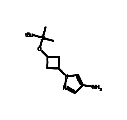 CC(C)(C)[Si](C)(C)OC1CC(n2cc(N)cn2)C1